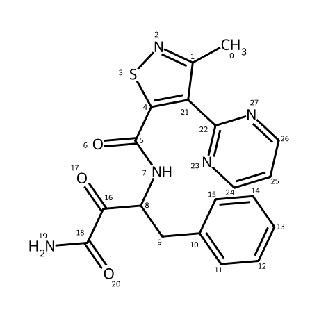 Cc1nsc(C(=O)NC(Cc2ccccc2)C(=O)C(N)=O)c1-c1ncccn1